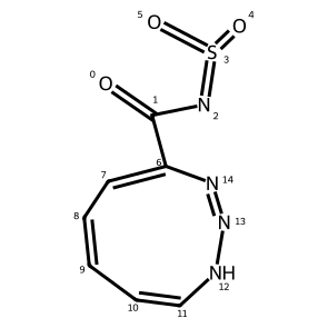 O=C(N=S(=O)=O)c1ccccc[nH]nn1